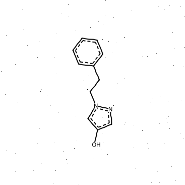 Oc1cnn(CCc2ccccc2)c1